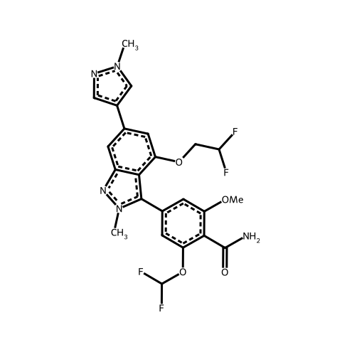 COc1cc(-c2c3c(OCC(F)F)cc(-c4cnn(C)c4)cc3nn2C)cc(OC(F)F)c1C(N)=O